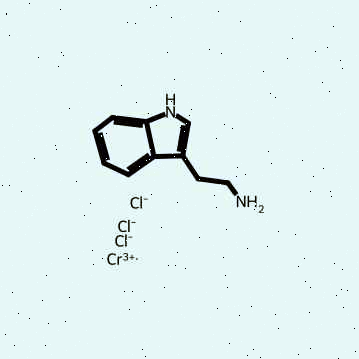 NCCc1c[nH]c2ccccc12.[Cl-].[Cl-].[Cl-].[Cr+3]